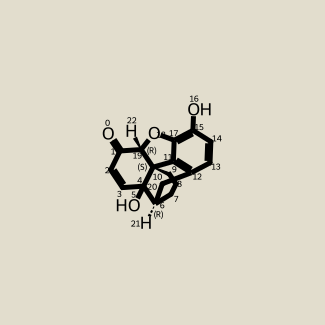 O=C1C=CC2(O)[C@@H]3CCC[C@@]24c2c(ccc(O)c2O[C@@H]14)C3